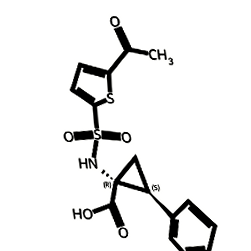 CC(=O)c1ccc(S(=O)(=O)N[C@]2(C(=O)O)C[C@H]2c2ccccc2)s1